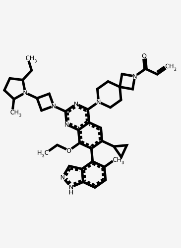 C=CC(=O)N1CC2(CCN(c3nc(N4CC(N5C(C)CCC5CC)C4)nc4c(OCC)c(-c5c(C)ccc6[nH]ncc56)c(C5CC5)cc34)CC2)C1